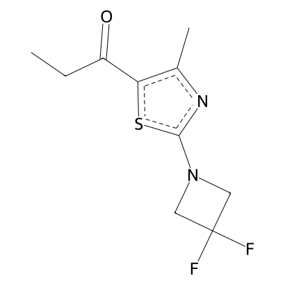 CCC(=O)c1sc(N2CC(F)(F)C2)nc1C